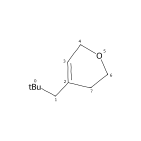 CC(C)(C)CC1=CCOCC1